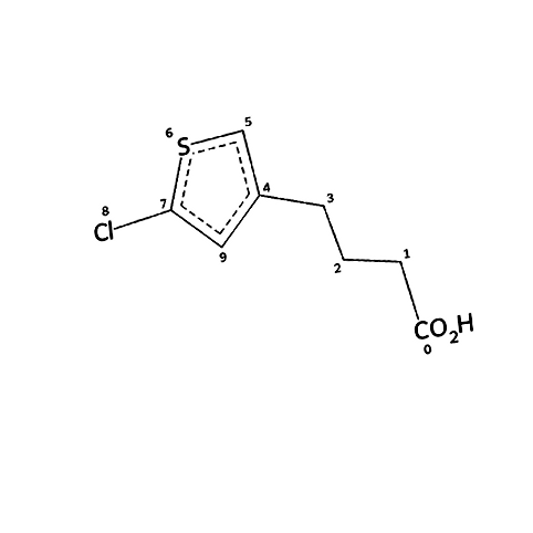 O=C(O)CCCc1csc(Cl)c1